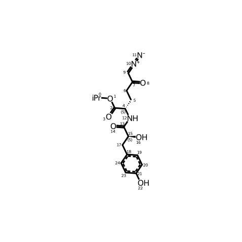 CC(C)OC(=O)[C@H](CCC(=O)C=[N+]=[N-])NC(=O)[C@@H](O)Cc1ccc(O)cc1